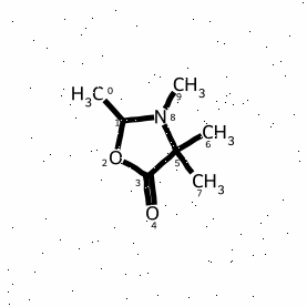 CC1OC(=O)C(C)(C)N1C